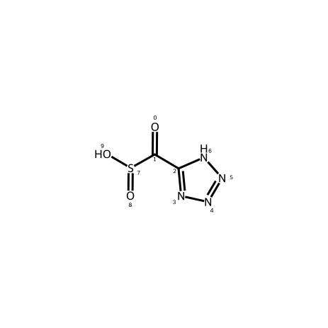 O=C(c1nnn[nH]1)S(=O)O